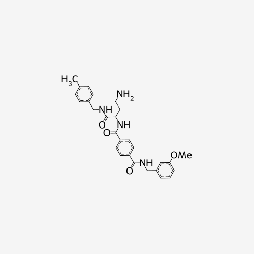 COc1cccc(CNC(=O)c2ccc(C(=O)NC(CCN)C(=O)NCc3ccc(C)cc3)cc2)c1